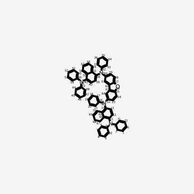 C1=CCC(N(c2ccccc2)c2ccc(N(c3ccccc3)c3ccc4oc5ccc(N(c6ccccc6)c6ccc(N(c7ccccc7)c7ccccc7)c7ccccc67)cc5c4c3)c3c2CCC=C3)C=C1